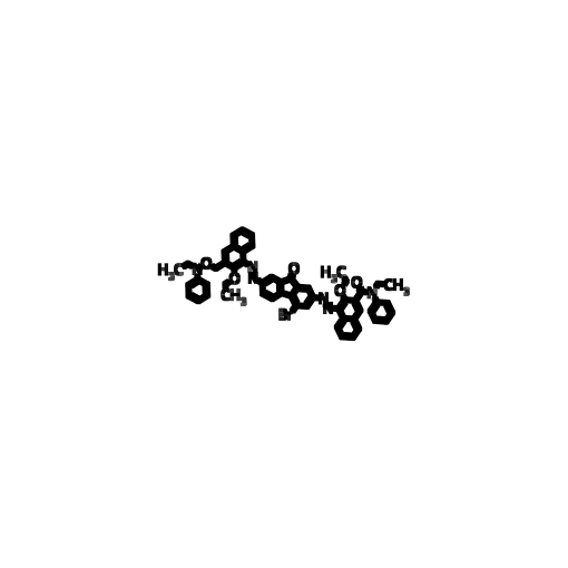 CCOc1c(CON(CC)c2ccccc2)cc2ccccc2c1N=Nc1ccc2c(c1)C(=O)c1cc(N=Nc3c(OCC)c(C(=O)N(CC)c4ccccc4)cc4ccccc34)cc(Br)c1-2